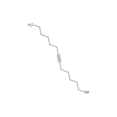 CCCCCCC#CCCCCCO